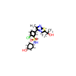 Cc1nc2sc(C(O)(C(F)(F)F)C(F)(F)F)cn2c1-c1ccc(Cl)c(S(=O)(=O)N[C@H]2CC[C@@H](O)CC2)c1